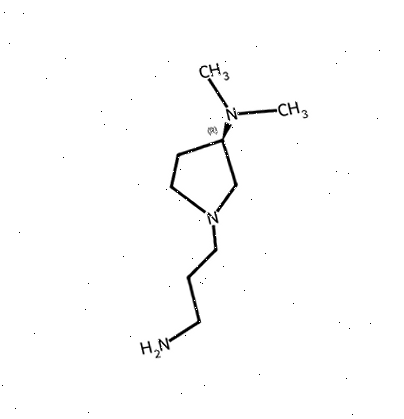 CN(C)[C@@H]1CCN(CCCN)C1